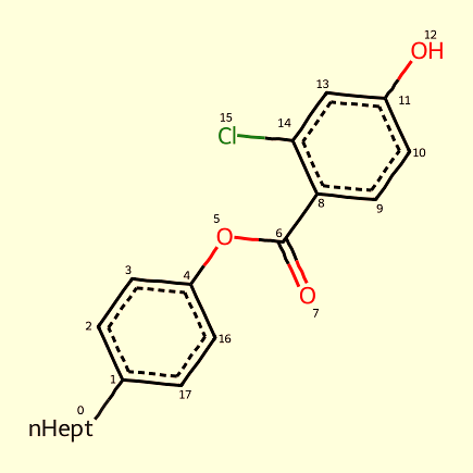 CCCCCCCc1ccc(OC(=O)c2ccc(O)cc2Cl)cc1